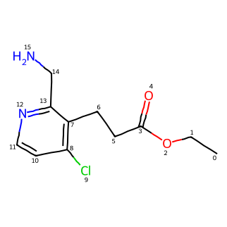 CCOC(=O)CCc1c(Cl)ccnc1CN